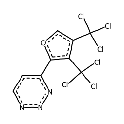 ClC(Cl)(Cl)c1coc(-c2ccnnn2)c1C(Cl)(Cl)Cl